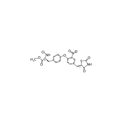 COC(=O)[C@H](Cc1ccc(Oc2ccc(/C=C3\SC(=O)NC3=O)cc2[N+](=O)[O-])cc1)NCl